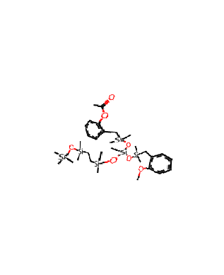 COc1ccccc1C[Si](C)(C)O[Si](C)(O[Si](C)(C)CC[Si](C)(C)O[Si](C)(C)C)O[Si](C)(C)Cc1ccccc1OC(C)=O